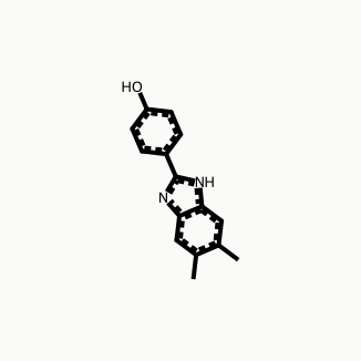 Cc1cc2nc(-c3ccc(O)cc3)[nH]c2cc1C